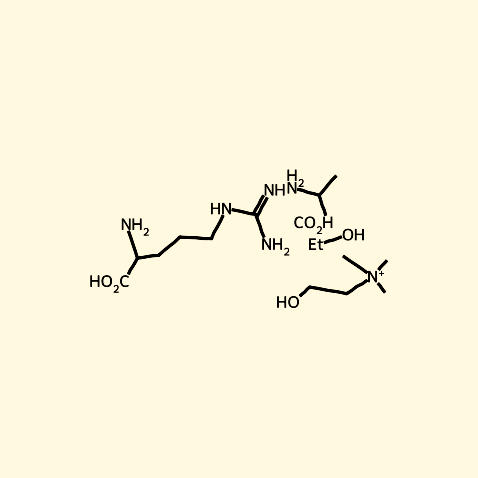 CC(N)C(=O)O.CCO.C[N+](C)(C)CCO.N=C(N)NCCCC(N)C(=O)O